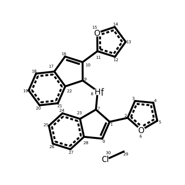 C1=C(c2ccco2)[CH]([Hf][CH]2C(c3ccco3)=Cc3ccccc32)c2ccccc21.CCl